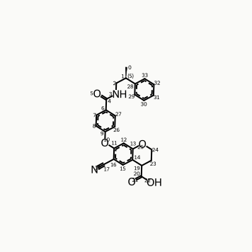 C[C@H](CNC(=O)c1ccc(Oc2cc3c(cc2C#N)C(C(=O)O)CCO3)cc1)c1ccccc1